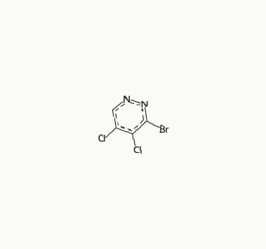 Clc1cnnc(Br)c1Cl